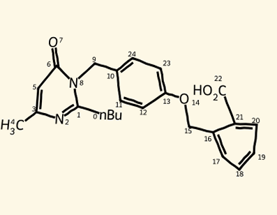 CCCCc1nc(C)cc(=O)n1Cc1ccc(OCc2ccccc2C(=O)O)cc1